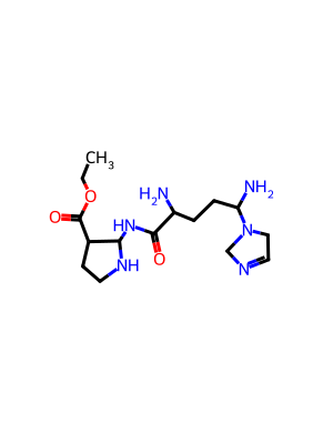 CCOC(=O)C1CCNC1NC(=O)C(N)CCC(N)N1CC=NC1